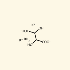 B.O=C([O-])C(O)C(O)C(=O)[O-].[K+].[K+]